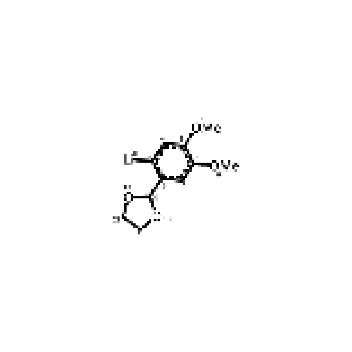 [Li][c]1cc(OC)c(OC)cc1C1OCCO1